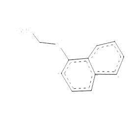 O=[C]CSc1cccc2ccccc12